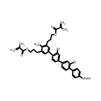 C=C(C)C(=O)OCCCc1cc(-c2ccc(-c3ccc(-c4ccc(CCCCC)cc4)c(CC)c3)cc2CC)cc(CCCOC(=O)C(=C)C)c1C